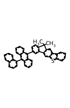 CC1(C)c2ccc(-c3c4ccccc4c(-c4cccc5ccccc45)c4ccccc34)cc2-c2cc3sc4ccccc4c3cc21